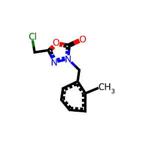 Cc1ccccc1Cn1nc(CCl)oc1=O